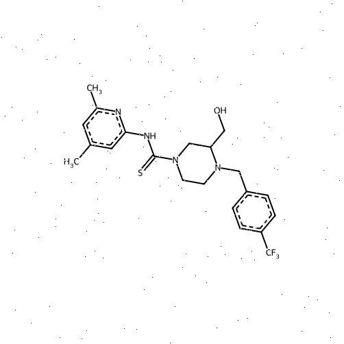 Cc1cc(C)nc(NC(=S)N2CCN(Cc3ccc(C(F)(F)F)cc3)C(CO)C2)c1